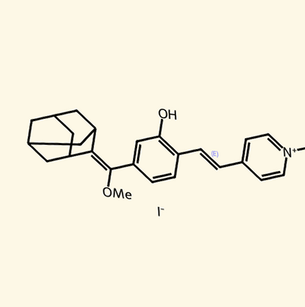 COC(=C1C2CC3CC(C2)CC1C3)c1ccc(/C=C/c2cc[n+](C)cc2)c(O)c1.[I-]